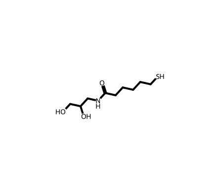 O=C(CCCCCS)NCC(O)CO